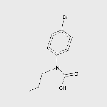 CCCN(C(=O)O)c1ccc(Br)cc1